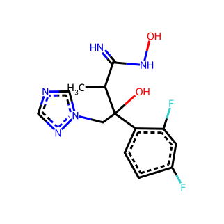 CC(C(=N)NO)C(O)(Cn1cncn1)c1ccc(F)cc1F